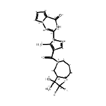 Cc1c(C(=O)N2CCCCC(C(C)(O)C(F)(F)F)C2)cnn1-c1nn2cccc2c(=O)[nH]1